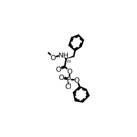 CON[C@@H](Cc1ccccc1)C(=O)OP(=O)(Cl)Oc1ccccc1